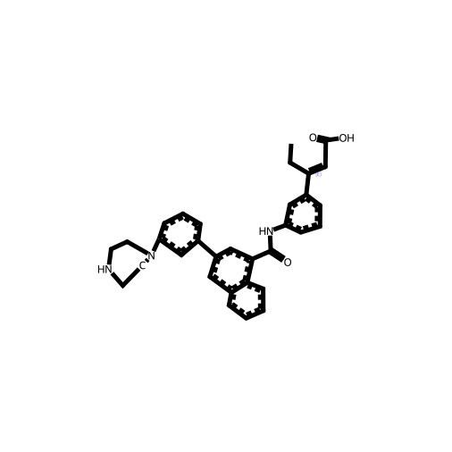 CC/C(=C\C(=O)O)c1cccc(NC(=O)c2cc(-c3cccc(N4CCNCC4)c3)cc3ccccc23)c1